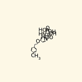 Cc1ccc(CCOc2ccnc(NC(P(=O)(O)O)P(=O)(O)O)c2)cc1